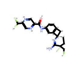 NC1=N[C@]2(CC[C@@]1(F)CF)Cc1ccc(NC(=O)c3cnc(C(F)F)cn3)cc12